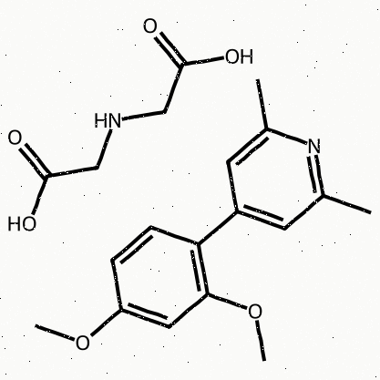 COc1ccc(-c2cc(C)nc(C)c2)c(OC)c1.O=C(O)CNCC(=O)O